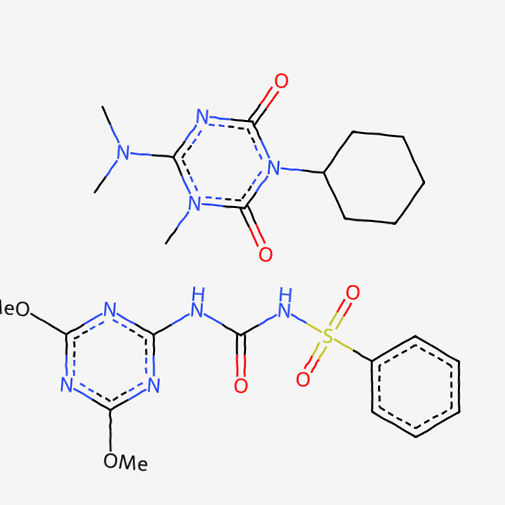 CN(C)c1nc(=O)n(C2CCCCC2)c(=O)n1C.COc1nc(NC(=O)NS(=O)(=O)c2ccccc2)nc(OC)n1